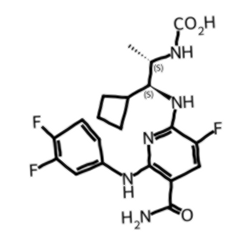 C[C@H](NC(=O)O)[C@@H](Nc1nc(Nc2ccc(F)c(F)c2)c(C(N)=O)cc1F)C1CCC1